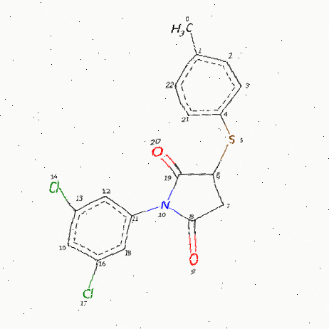 Cc1ccc(SC2CC(=O)N(c3cc(Cl)cc(Cl)c3)C2=O)cc1